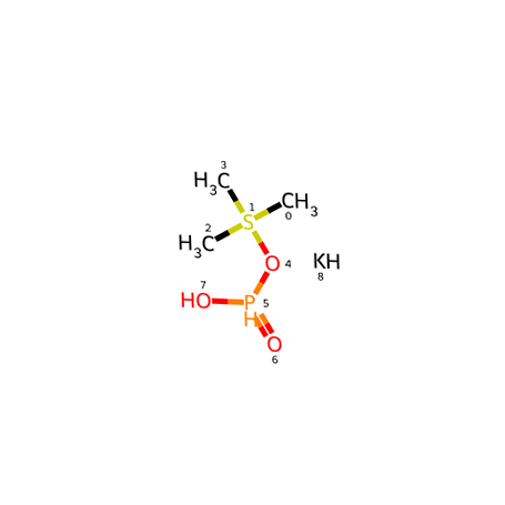 CS(C)(C)O[PH](=O)O.[KH]